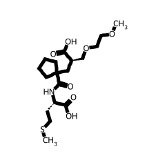 COCCOC[C@@H](CC1(C(=O)N[C@@H](CCSC)C(=O)O)CCCC1)C(=O)O